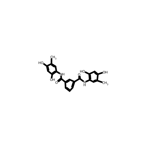 Cc1cc(NC(=O)c2cccc(C(=O)Nc3cc(C)c(O)cc3O)c2)c(O)cc1O